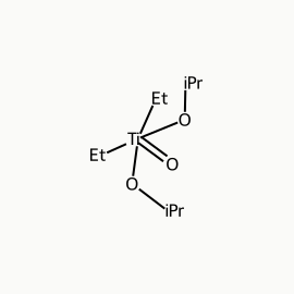 C[CH2][Ti](=[O])([CH2]C)([O]C(C)C)[O]C(C)C